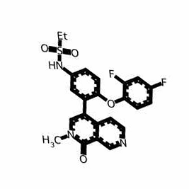 CCS(=O)(=O)Nc1ccc(Oc2ccc(F)cc2F)c(-c2cn(C)c(=O)c3cnccc23)c1